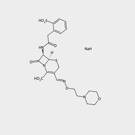 O=C(Cc1ccccc1S(=O)(=O)O)N[C@@H]1C(=O)N2C(C(=O)O)=C(/C=N/OCCN3CCOCC3)CS[C@H]12.[NaH]